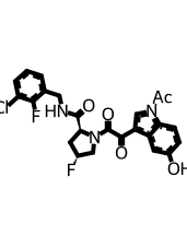 CC(=O)n1cc(C(=O)C(=O)N2C[C@H](F)C[C@H]2C(=O)NCc2cccc(Cl)c2F)c2cc(O)ccc21